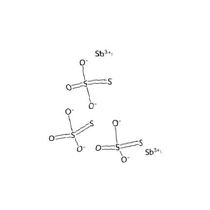 O=S([O-])([O-])=S.O=S([O-])([O-])=S.O=S([O-])([O-])=S.[Sb+3].[Sb+3]